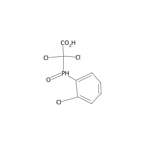 O=C(O)C(Cl)(Cl)[PH](=O)c1ccccc1Cl